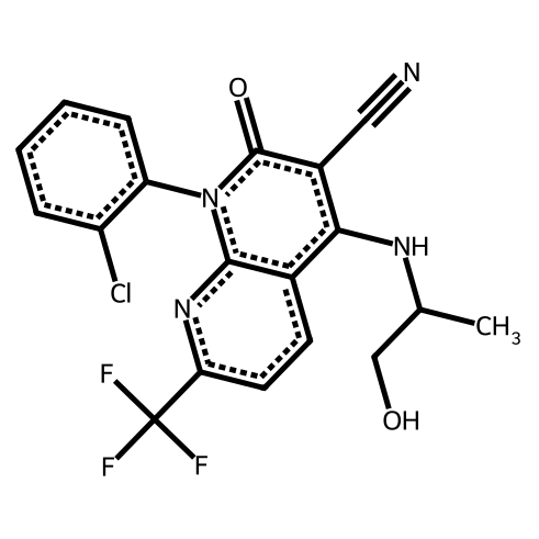 CC(CO)Nc1c(C#N)c(=O)n(-c2ccccc2Cl)c2nc(C(F)(F)F)ccc12